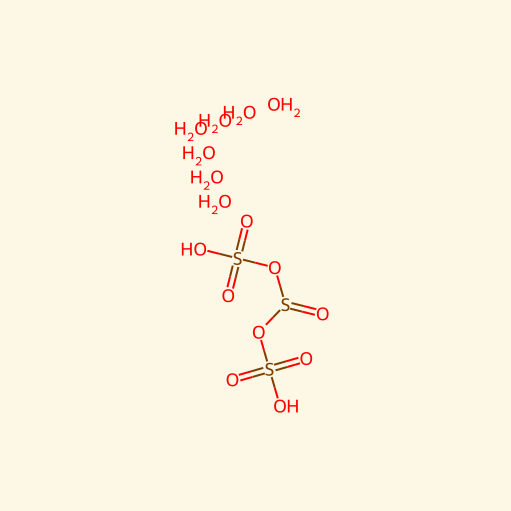 O.O.O.O.O.O.O.O=S(OS(=O)(=O)O)OS(=O)(=O)O